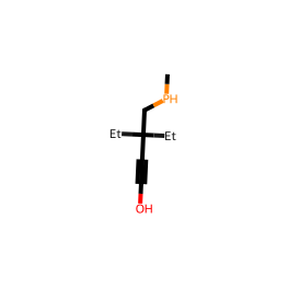 CCC(C#CO)(CC)CPC